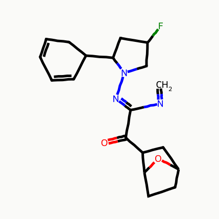 C=N/C(=N\N1CC(F)CC1C1C=CC=CC1)C(=O)C1CC2CCC1O2